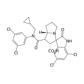 O=C(O)[C@@H]1C(C(=O)N(CC2CC2)c2cc(Cl)cc(Cl)c2)[C@@H]2CCCN2C12C(=O)Nc1c(Cl)cc(Cl)cc12